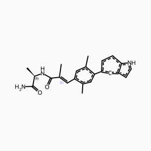 C/C(=C\c1cc(C)c(-c2ccc3[nH]ccc3c2)cc1C)C(=O)N[C@H](C)C(N)=O